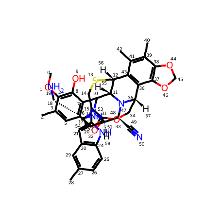 COc1c(C)cc2c(c1O)C1[C@@H]3[C@@H]4SC[C@]5(N[C@@H](CN)Cc6c5[nH]c5ccc(C)cc65)C(=O)OC[C@@H](c5c6c(c(C)c(C)c54)OCO6)N3[C@@H](C#N)[C@@H](C2)N1C